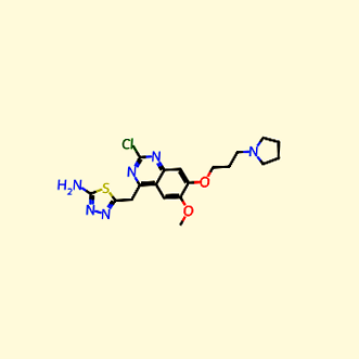 COc1cc2c(Cc3nnc(N)s3)nc(Cl)nc2cc1OCCCN1CCCC1